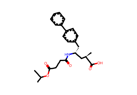 CC(C)OC(=O)CCC(=O)N[C@H](Cc1ccc(-c2ccccc2)cc1)C[C@@H](C)C(=O)O